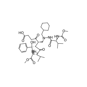 COC(=O)N[C@H](C(=O)NN(CC1CCCCC1)C[C@H](C(=O)CCC(=O)O)[C@H](C(=O)[C@@H](NC(=O)OC)C(C)C)C(N)(O)c1ccccc1)C(C)C